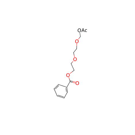 CC(=O)OCOCCOCCOC(=O)c1ccccc1